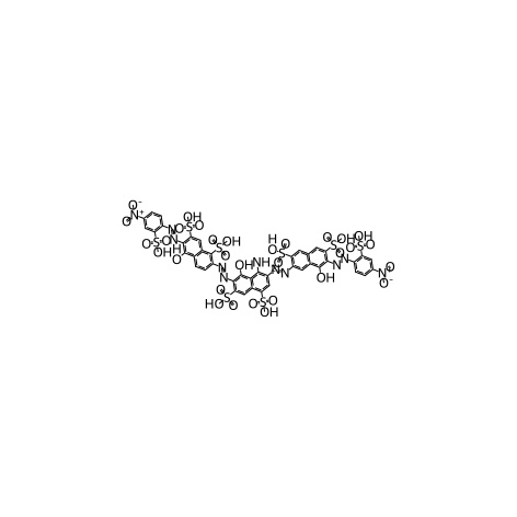 Nc1c(N=Nc2cc3c(O)c(N=Nc4ccc([N+](=O)[O-])cc4S(=O)(=O)O)c(S(=O)(=O)O)cc3cc2S(=O)(=O)O)cc(S(=O)(=O)O)c2cc(S(=O)(=O)O)c(N=Nc3ccc4c(O)c(N=Nc5ccc([N+](=O)[O-])cc5S(=O)(=O)O)c(S(=O)(=O)O)cc4c3S(=O)(=O)O)c(O)c12